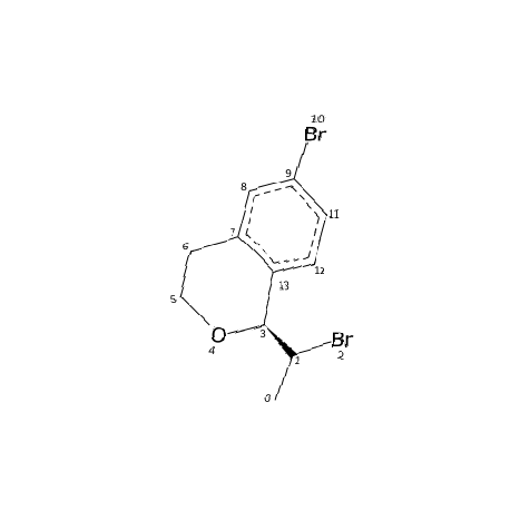 CC(Br)[C@H]1OCCc2cc(Br)ccc21